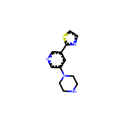 c1csc(-c2cncc(N3CCNCC3)c2)n1